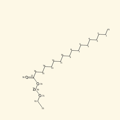 CCCCCCCCCCCCCCCCCC(=O)[O][Zr][O]CC